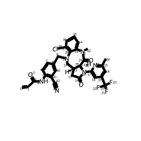 C=CC(=O)Nc1ccc(CN2C[C@H]3CC(=O)N(c4cc(C(F)(F)F)cc(C)n4)[C@@H]3C(=O)N(C)c3cccc(Cl)c32)cc1C#N